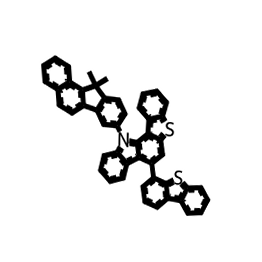 CC1(C)c2ccc(-n3c4ccccc4c4c(-c5cccc6c5sc5ccccc56)cc5sc6ccccc6c5c43)cc2-c2ccc3ccccc3c21